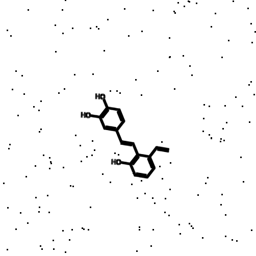 C=Cc1cccc(O)c1/C=C/c1ccc(O)c(O)c1